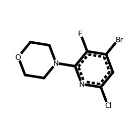 Fc1c(Br)cc(Cl)nc1N1CCOCC1